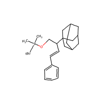 CC(C)(C)[Si](C)(C)OCC(C=Cc1ccccc1)C12CC3CC(CC(C3)C1)C2